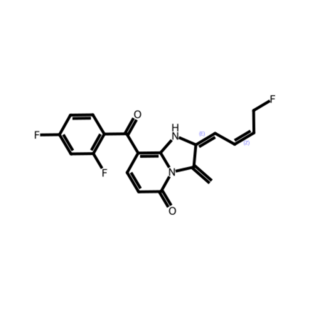 C=c1/c(=C\C=C/CF)[nH]c2c(C(=O)c3ccc(F)cc3F)ccc(=O)n12